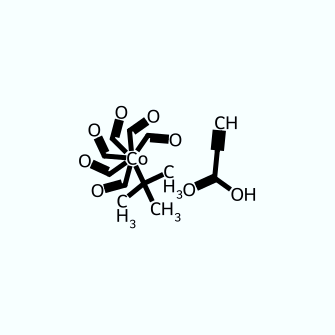 C#CC(=O)O.C[C](C)(C)[Co]([CH]=O)([CH]=O)([CH]=O)([CH]=O)([CH]=O)[CH]=O